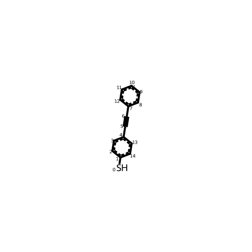 Sc1ccc(C#Cc2cc[c]cc2)cc1